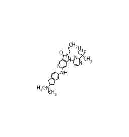 C=CCn1c(=O)c2cnc(Nc3ccc4c(c3)CC(N(C)C)C4)cc2n1-c1ccnc(C(C)(C)F)n1